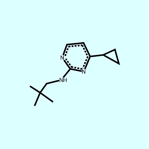 CC(C)(C)CNc1nccc(C2CC2)n1